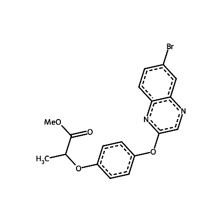 COC(=O)C(C)Oc1ccc(Oc2cnc3cc(Br)ccc3n2)cc1